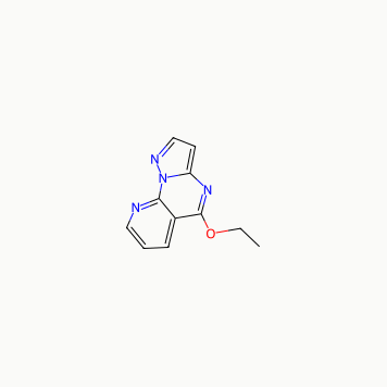 CCOc1nc2ccnn2c2ncccc12